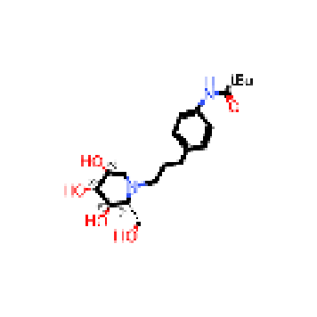 CC(C)(C)C(=O)Nc1ccc(CCCN2C[C@H](O)[C@@H](O)[C@H](O)[C@H]2CO)cc1